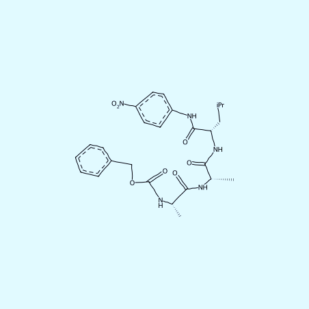 CC(C)C[C@H](NC(=O)[C@H](C)NC(=O)[C@H](C)NC(=O)OCc1ccccc1)C(=O)Nc1ccc([N+](=O)[O-])cc1